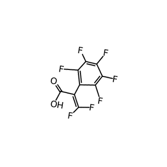 O=C(O)C(=C(F)F)c1c(F)c(F)c(F)c(F)c1F